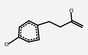 C=C(Cl)CCc1ccc(Cl)cc1